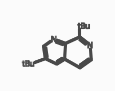 CC(C)(C)c1cnc2c(C(C)(C)C)nccc2c1